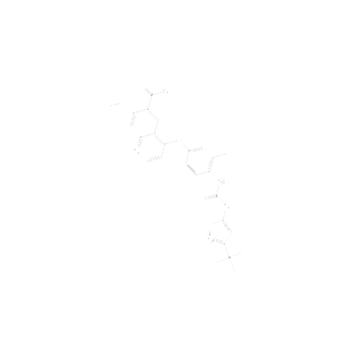 COc1cc2nccc(Oc3ccc(NC(=O)Nc4cc(C(C)(C)C)no4)c(Cl)c3)c2cc1C(N)=O